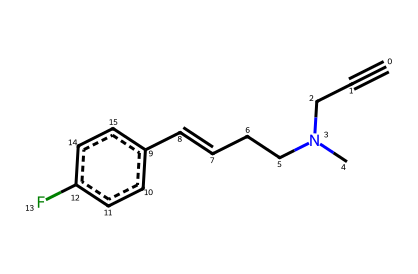 C#CCN(C)CC/C=C/c1ccc(F)cc1